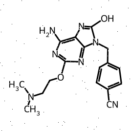 CN(C)CCOc1nc(N)c2nc(O)n(Cc3ccc(C#N)cc3)c2n1